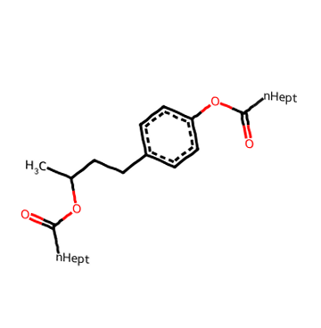 CCCCCCCC(=O)Oc1ccc(CCC(C)OC(=O)CCCCCCC)cc1